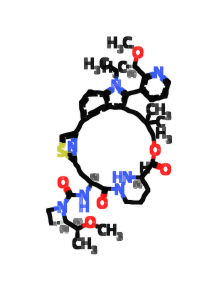 CCn1c(-c2cccnc2[C@H](C)OC)c2c3cc(ccc31)-c1csc(n1)C[C@H](NC(=O)N1CC[C@H]1[C@H](C)OC)C(=O)N1CCC[C@H](N1)C(=O)OCC(C)(C)C2